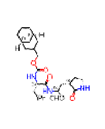 CC(C)C[C@H](NC(=O)OCC1C[C@@H]2C=CC[C@H](C1)C2)C(=O)N[C@H](C=O)C[C@@H]1CCNC1=O